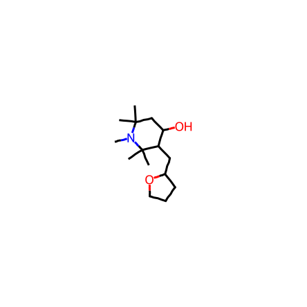 CN1C(C)(C)CC(O)C(CC2CCCO2)C1(C)C